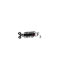 FC(F)(F)C(F)(F)C(F)(F)C(F)(F)C(F)(F)C(F)(F)C(F)(F)C(F)(F)C(F)(F)C(F)(F)c1ccc(P(c2ccccc2)c2ccccc2)cc1